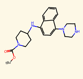 CC(C)(C)OC(=O)N1CCC(Nc2ccc(N3CCNCC3)c3ccccc23)CC1